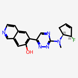 CN(c1ncc(-c2cc3ccncc3cc2O)nn1)[C@H]1CC=C[C@@H]1F